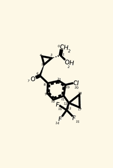 C=C(O)[C@H]1C[C@@H]1C(=O)c1ccc(C2(C(F)(F)F)CC2)c(Cl)c1